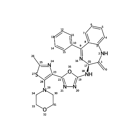 C=C1Nc2ccccc2C(c2ccccc2)=N[C@@H]1Nc1nnc(-c2nc(C)sc2N2CCOCC2)o1